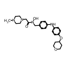 CN1CCN(CC(=O)N(O)Cc2ccc(Nc3ccc(OC4CCOCC4)cc3)cc2)CC1